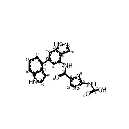 O=C(O)Nc1nc(C(=O)Nc2cc(-c3cccc4[nH]ccc34)cc3[nH]ncc23)cs1